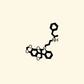 CC(Cc1ccccc1)NCCCN1C(=O)C2(COc3cc4c(cc32)OCO4)c2ccccc21